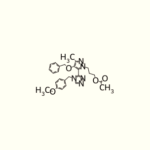 COc1ccc(Cn2cnnc2-c2c(OCc3ccccc3)c(C)nn2CCCOC(C)=O)cc1